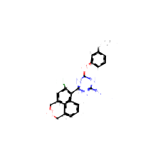 COc1cccc(OC2N=C(c3c(Cl)cc4c5c(cccc35)COC4)N=C(N)N2)c1